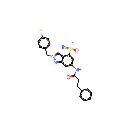 C[S@](=N)(=O)c1cc(NC(=O)CCc2ccccc2)cc2nn(Cc3ccc(F)cc3)cc12